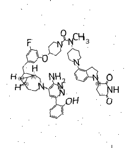 CN(C(=O)N1CCC(Oc2cc(F)cc(CC3[C@H]4CN(c5cc(-c6ccccc6O)nnc5N)CC[C@H]5C4[C@H]35)c2)CC1)C1CCN(c2cccc3c2CCN3[C@@H]2CCC(=O)NC2=O)CC1